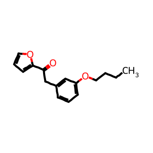 CCCCOc1cccc(CC(=O)c2ccco2)c1